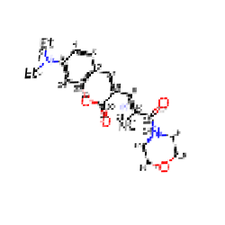 CCN(CC)c1ccc2cc(/C=C(\C#N)C(=O)N3CCOCC3)c(=O)oc2c1